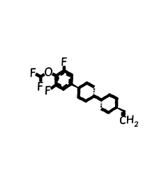 C=C[C@H]1CC[C@H]([C@H]2CC[C@H](c3cc(F)c(OC(F)F)c(F)c3)CC2)CC1